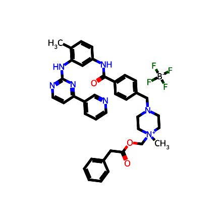 Cc1ccc(NC(=O)c2ccc(CN3CC[N+](C)(COC(=O)Cc4ccccc4)CC3)cc2)cc1Nc1nccc(-c2cccnc2)n1.F[B-](F)(F)F